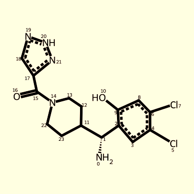 N[C@@H](c1cc(Cl)c(Cl)cc1O)C1CCN(C(=O)c2cn[nH]n2)CC1